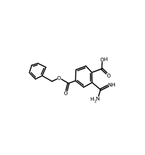 N=C(N)c1cc(C(=O)OCc2ccccc2)ccc1C(=O)O